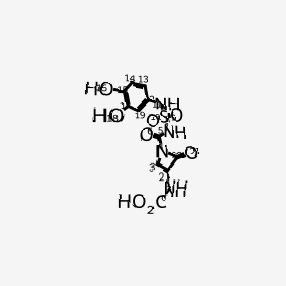 O=C(O)N[C@H]1CN(C(=O)NS(=O)(=O)Nc2ccc(O)c(O)c2)C1=O